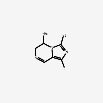 CCc1nc(I)c2n1C(C(C)(C)C)CN=C2